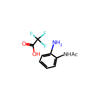 CC(=O)Nc1ccccc1N.O=C(O)C(F)(F)F